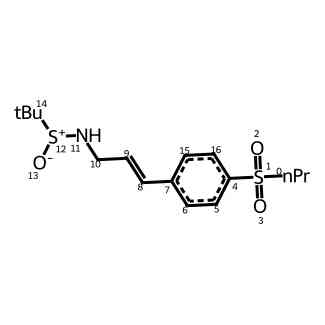 CCCS(=O)(=O)c1ccc(C=CCN[S+]([O-])C(C)(C)C)cc1